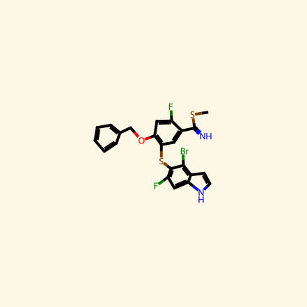 CSC(=N)c1cc(Sc2c(F)cc3[nH]ccc3c2Br)c(OCc2ccccc2)cc1F